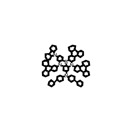 c1ccc(-c2ccc(N(c3ccc(-c4ccccc4)cc3)c3cc4c5c(c3)N(c3ccc6c7ccccc7c7ccccc7c6c3)c3cc6c7ccccc7c7ccccc7c6cc3B5c3ccc(-n5c6ccccc6c6ccccc65)cc3N4c3ccc4c5ccccc5c5ccccc5c4c3)cc2)cc1